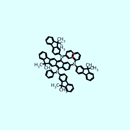 CC1(C)c2ccccc2-c2ccc(N(c3ccccc3)c3ccc4c(N(c5ccccc5)c5ccc6c(c5)C(C)(C)c5ccccc5-6)c5cc6c(cc5c(N(c5ccccc5)c5ccc7c(c5)C(C)(C)c5ccccc5-7)c4c3)-c3ccccc3C6(C)C)cc21